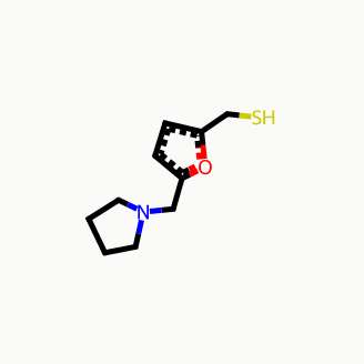 SCc1ccc(CN2CCCC2)o1